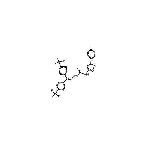 O=C(/C=C/C=C(c1ccc(C(F)(F)F)cc1)c1ccc(C(F)(F)F)cc1)Nc1cc(-c2ccccc2)no1